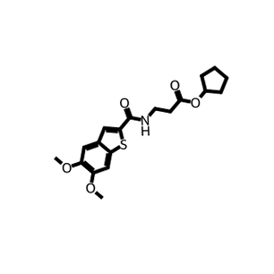 COc1cc2cc(C(=O)NCCC(=O)OC3CCCC3)sc2cc1OC